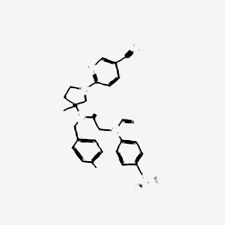 CC1(N(Cc2ccc(Cl)cc2)C(=O)CN(C=O)c2ccc([N+](=O)[O-])cc2)CCN(c2ccc(C#N)cn2)C1